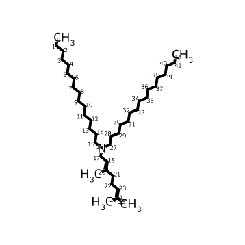 CCCCCCCCCCCCCCCCN(C/C=C(\C)CCC=C(C)C)CCCCCCCCCCCCCCCC